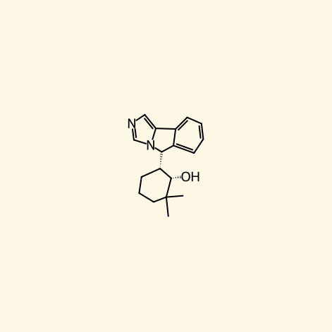 CC1(C)CCC[C@H](C2c3ccccc3-c3cncn32)[C@@H]1O